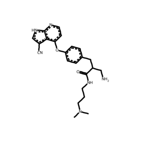 CN(C)CCCNC(=O)C(CN)Cc1ccc(Oc2ccnc3[nH]cc(C#N)c23)cc1